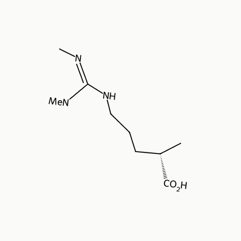 C/N=C(\NC)NCCC[C@H](C)C(=O)O